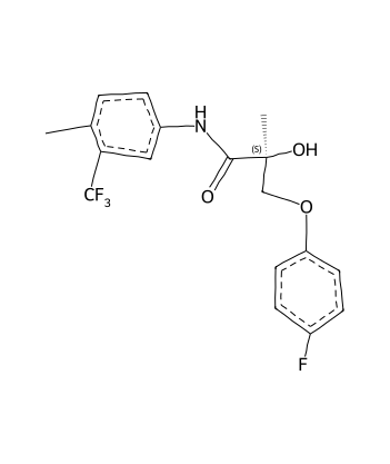 Cc1ccc(NC(=O)[C@@](C)(O)COc2ccc(F)cc2)cc1C(F)(F)F